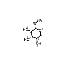 CC(C)S[C@@H]1OC[C@@H](O)[C@H](O)[C@H]1O